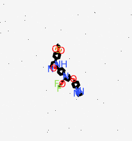 CCS(=O)(=O)c1ccc(C(CC#N)NC(=O)c2ccc(N3C[C@@H](Oc4ccc(-n5nccn5)cc4)C[C@H]3COC(F)F)cc2)cc1